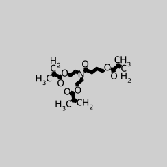 C=C(C)C(=O)OCCCC(=O)N(CCOC(=O)C(=C)C)CCOC(=O)C(=C)C